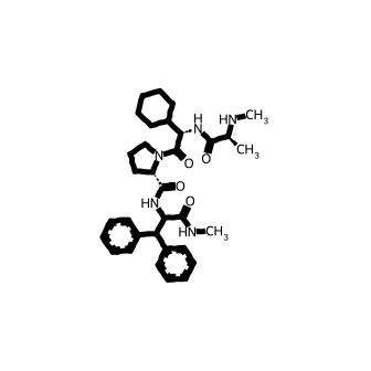 CNC(=O)C(NC(=O)[C@@H]1CCCN1C(=O)[C@@H](NC(=O)[C@H](C)NC)C1CCCCC1)C(c1ccccc1)c1ccccc1